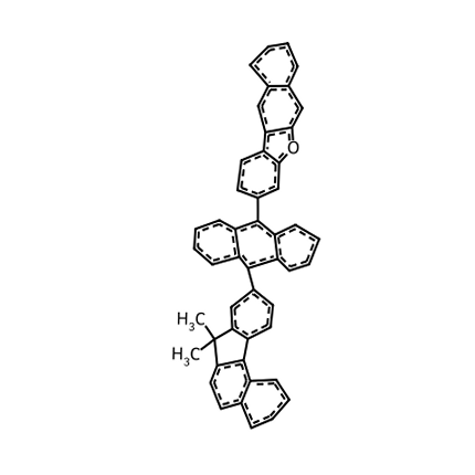 CC1(C)c2cc(-c3c4ccccc4c(-c4ccc5c(c4)oc4cc6ccccc6cc45)c4ccccc34)ccc2-c2c1ccc1ccccc21